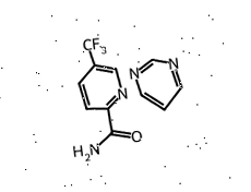 NC(=O)c1ccc(C(F)(F)F)cn1.c1cncnc1